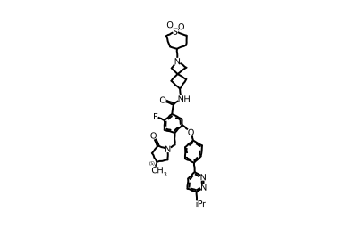 CC(C)c1ccc(-c2ccc(Oc3cc(C(=O)NC4CC5(C4)CN(C4CCS(=O)(=O)CC4)C5)c(F)cc3CN3C[C@@H](C)CC3=O)cc2)nn1